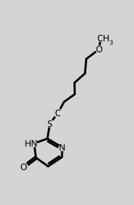 COCCCCCCSc1nccc(=O)[nH]1